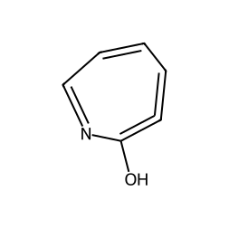 OC1=C=CC=CC=N1